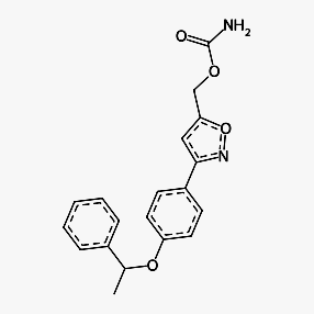 CC(Oc1ccc(-c2cc(COC(N)=O)on2)cc1)c1ccccc1